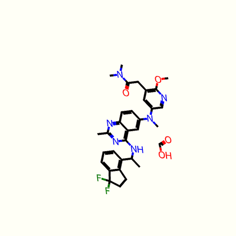 COc1ncc(N(C)c2ccc3nc(C)nc(NC(C)c4cccc5c4CCC5(F)F)c3c2)cc1CC(=O)N(C)C.O=CO